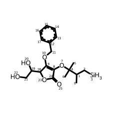 CC(C[SiH3])C(C)(C)OC1=C(OCc2ccccc2)C(C(O)CO)OC1=O